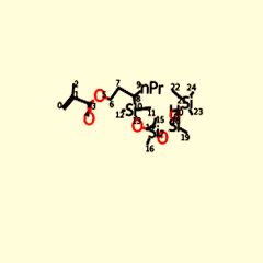 C=C(C)C(=O)OCCC(CCC)[Si](C)(C)O[Si](C)(C)O[SiH](C)O[Si](C)(C)C